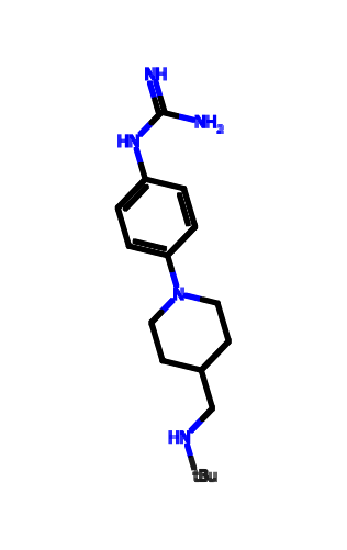 CC(C)(C)NCC1CCN(c2ccc(NC(=N)N)cc2)CC1